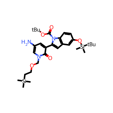 CC(C)(C)OC(=O)n1c(-c2cc(N)cn(COCC[Si](C)(C)C)c2=O)cc2cc(O[Si](C)(C)C(C)(C)C)ccc21